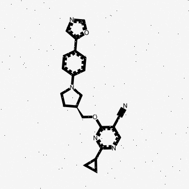 N#Cc1cnc(C2CC2)nc1OC[C@H]1CCN(c2ccc(-c3cnco3)cc2)C1